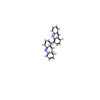 [c]1c2ccccc2nc2c(-c3cccc4nc5ccccc5cc34)cccc12